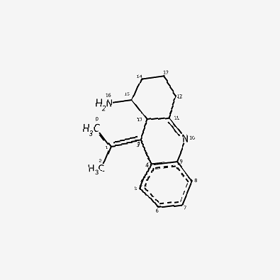 CC(C)=C1c2ccccc2N=C2CCCC(N)C21